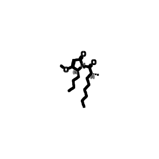 CCCCCC[C@@H](C)C(=O)N1C(=O)C=C(OC)[C@@H]1CCCC